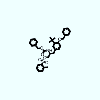 Cc1ccccc1S(=O)(=O)OCC(Cc1ccc(OCc2ccccc2)c(C(C)(C)C)c1)NC(=O)OCc1ccccc1